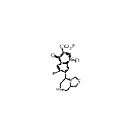 CCn1cc(C(=O)O)c(=O)c2cc(F)c(C3CNCC4CSCN43)cc21